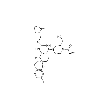 C=CC(=O)N1CCN(C2NC(OCC3CCCN3C)NC3C(=O)[C@@]4(CCc5ccc(F)cc5O4)CCC32)CC1CC#N